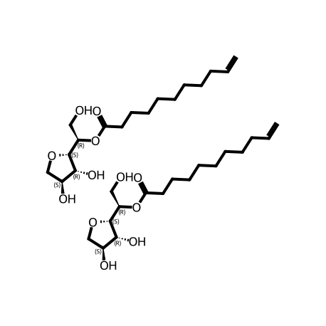 C=CCCCCCCCCC(=O)O[C@H](CO)[C@H]1OC[C@H](O)[C@H]1O.C=CCCCCCCCCC(=O)O[C@H](CO)[C@H]1OC[C@H](O)[C@H]1O